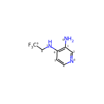 Nc1cnccc1NCC(F)(F)F